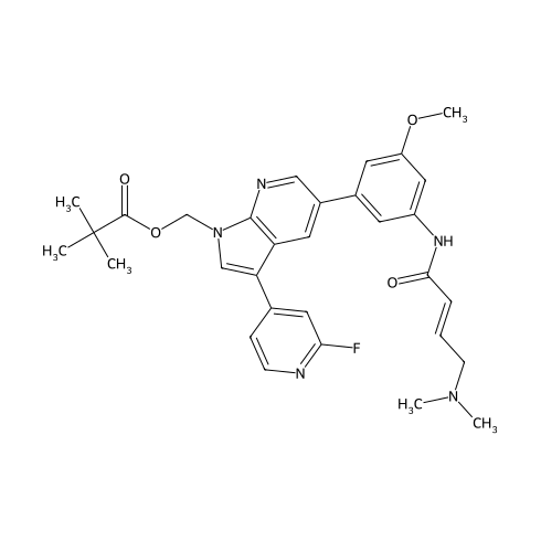 COc1cc(NC(=O)C=CCN(C)C)cc(-c2cnc3c(c2)c(-c2ccnc(F)c2)cn3COC(=O)C(C)(C)C)c1